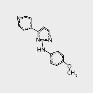 COc1ccc(Nc2nccc(-c3ccncc3)n2)cc1